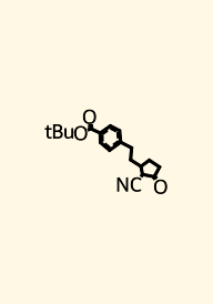 CC(C)(C)OC(=O)c1ccc(CCC2CCC(=O)C2C#N)cc1